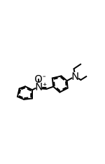 CCN(CC)c1ccc(C=[N+]([O-])c2ccccc2)cc1